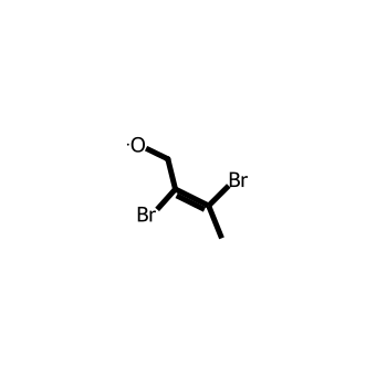 C/C(Br)=C(\Br)C[O]